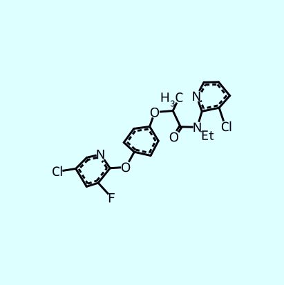 CCN(C(=O)C(C)Oc1ccc(Oc2ncc(Cl)cc2F)cc1)c1ncccc1Cl